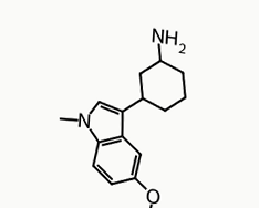 COc1ccc2c(c1)c(C1CCCC(N)C1)cn2C